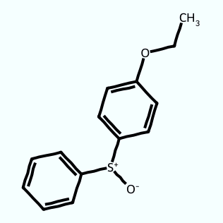 CCOc1ccc([S+]([O-])c2ccccc2)cc1